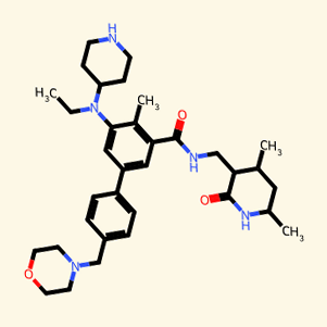 CCN(c1cc(-c2ccc(CN3CCOCC3)cc2)cc(C(=O)NCC2C(=O)NC(C)CC2C)c1C)C1CCNCC1